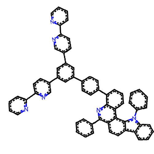 c1ccc(-c2nc3c(-c4ccc(-c5cc(-c6ccc(-c7ccccn7)nc6)cc(-c6ccc(-c7ccccn7)nc6)c5)cc4)cccc3c3c2ccc2c4ccccc4n(-c4ccccc4)c23)cc1